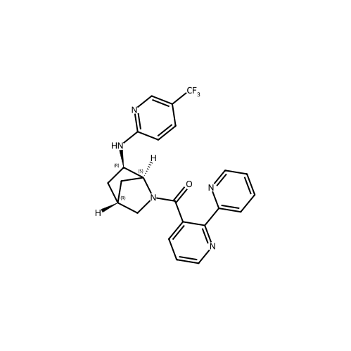 O=C(c1cccnc1-c1ccccn1)N1C[C@@H]2C[C@@H](Nc3ccc(C(F)(F)F)cn3)[C@@H]1C2